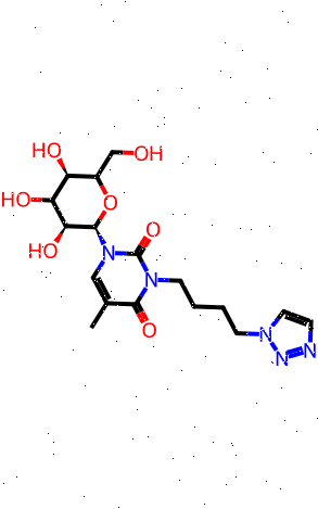 Cc1cn([C@@H]2OC(CO)[C@H](O)C(O)[C@@H]2O)c(=O)n(CCCCn2ccnn2)c1=O